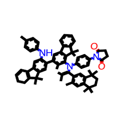 CC(C)=C(c1cc2c(cc1C)C(C)(C)CCC2(C)C)N(c1ccc(N2C(=O)CCC2=O)cc1)c1c(C)c(-c2cc3c(cc2Nc2ccc(C)cc2)C2=C(CCC=C2)C3(C)C)cc2c1C(C)(C)c1ccccc1-2